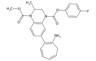 COC(=O)N1c2ccc(C3=C(N)CC=CC=C3)cc2N(C(=O)Oc2ccc(F)cc2)CC1C